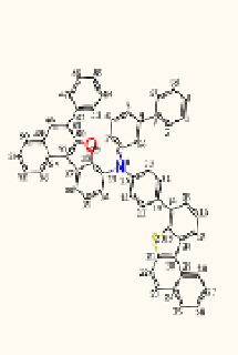 c1ccc(-c2cccc(N(c3ccc(-c4cccc5c4sc4ccc6ccccc6c45)cc3)c3cccc4c3oc3c(-c5ccccc5)cc5ccccc5c34)c2)cc1